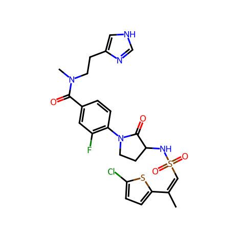 CC(=CS(=O)(=O)NC1CCN(c2ccc(C(=O)N(C)CCc3c[nH]cn3)cc2F)C1=O)c1ccc(Cl)s1